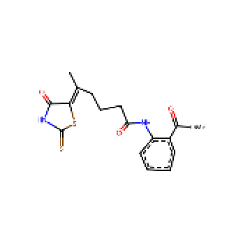 COC(=O)c1ccccc1NC(=O)CCCC(C)=C1SC(=S)NC1=O